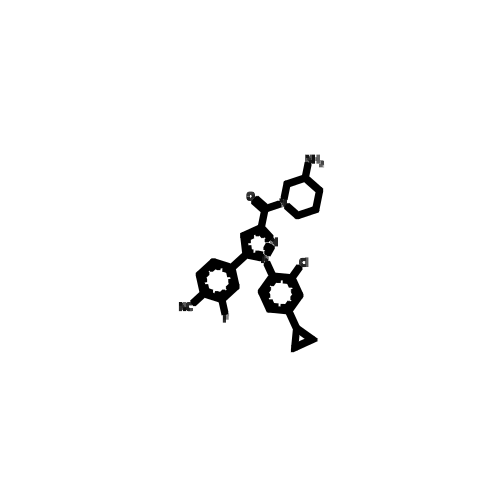 N#Cc1ccc(-c2cc(C(=O)N3CCCC(N)C3)nn2-c2ccc(C3CC3)cc2Cl)cc1F